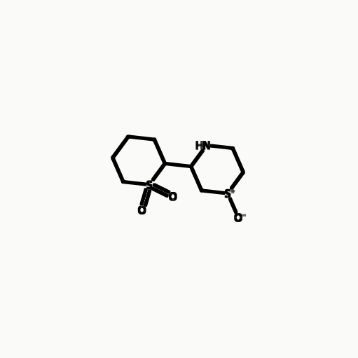 O=S1(=O)CCCCC1C1C[S+]([O-])CCN1